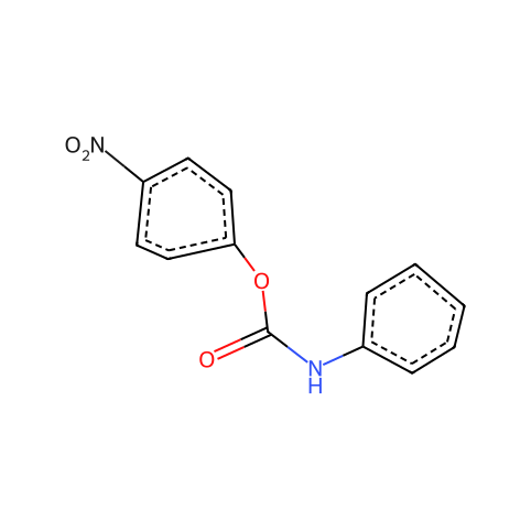 O=C(Nc1ccccc1)Oc1ccc([N+](=O)[O-])cc1